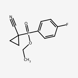 CCOP(=O)(c1ccc(F)cc1)C1(C#N)CC1